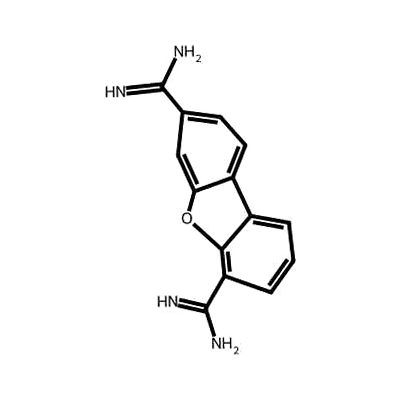 N=C(N)c1ccc2c(c1)oc1c(C(=N)N)cccc12